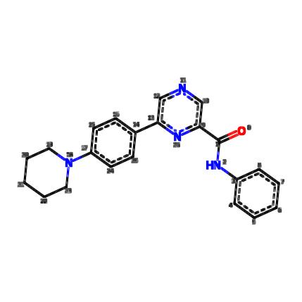 O=C(Nc1ccccc1)c1cncc(-c2ccc(N3CCCCC3)cc2)n1